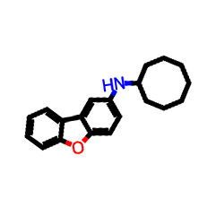 c1ccc2c(c1)oc1ccc(NC3CCCCCCC3)cc12